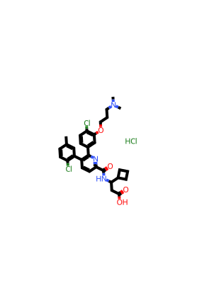 Cc1ccc(Cl)c(-c2ccc(C(=O)NC(CC(=O)O)C3CCC3)nc2-c2ccc(Cl)c(OCCCN(C)C)c2)c1.Cl